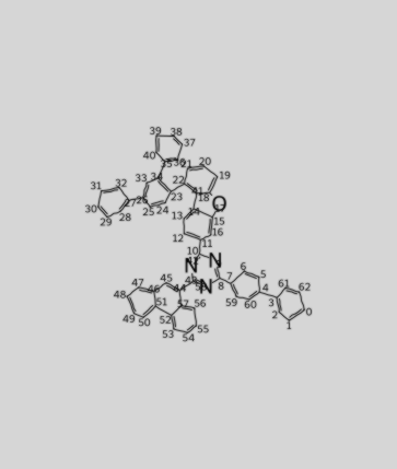 c1ccc(-c2ccc(-c3nc(-c4ccc5c(c4)oc4cccc(-c6ccc(-c7ccccc7)cc6-c6ccccc6)c45)nc(-c4cc5ccccc5c5ccccc45)n3)cc2)cc1